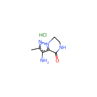 Cc1nn2c(c1N)C(=O)NCC2.Cl